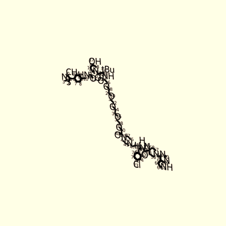 Cc1ncsc1-c1ccc(CNC(=O)[C@@H]2C[C@@H](O)CN2C(=O)[C@@H](NC(=O)COCCOCCOCCOCCOCC(=O)N2CCN(CC[C@H](NC(=O)C3(N)CCN(c4ncnc5[nH]ccc45)CC3)c3ccc(Cl)cc3)CC2)C(C)(C)C)cc1